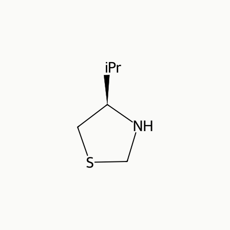 CC(C)[C@@H]1CSCN1